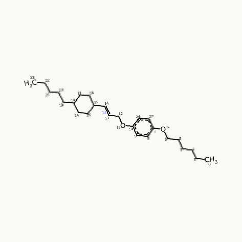 CCCCCCOc1ccc(OC/C=C/C2CCC(CCCCC)CC2)cc1